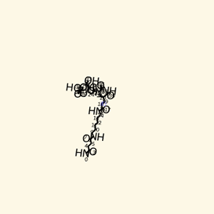 CNC(=O)CCC(=O)NCCCCCCNC(=O)/C=C/c1cn(C2CC(OP(=O)(O)O)C(CO)O2)c(=O)[nH]c1=O